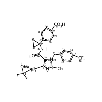 COC(C)(C)C#Cc1nc(Cl)n(Cc2ccc(C(F)(F)F)cc2)c1C(=O)NC1(c2ccc(C(=O)O)cc2)CC1